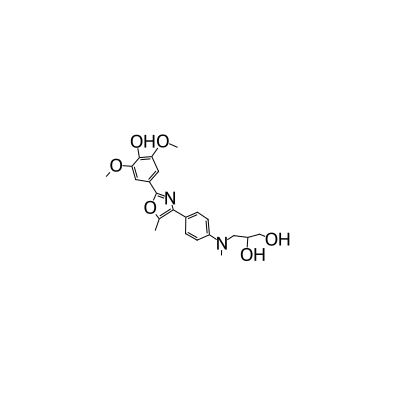 COc1cc(-c2nc(-c3ccc(N(C)CC(O)CO)cc3)c(C)o2)cc(OC)c1O